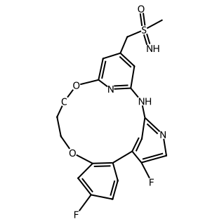 CS(=N)(=O)Cc1cc2nc(c1)OCCCOc1cc(F)ccc1-c1cc(ncc1F)N2